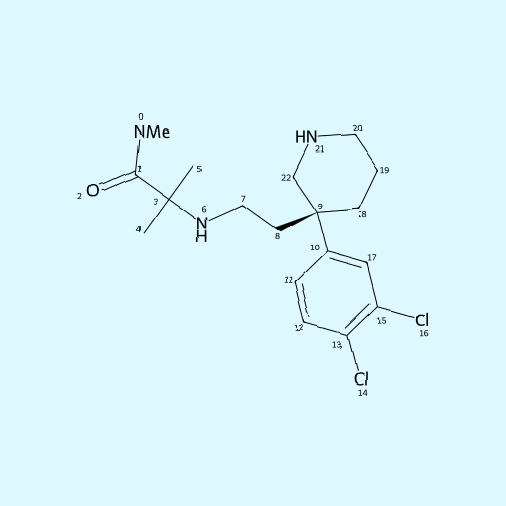 CNC(=O)C(C)(C)NCC[C@]1(c2ccc(Cl)c(Cl)c2)CCCNC1